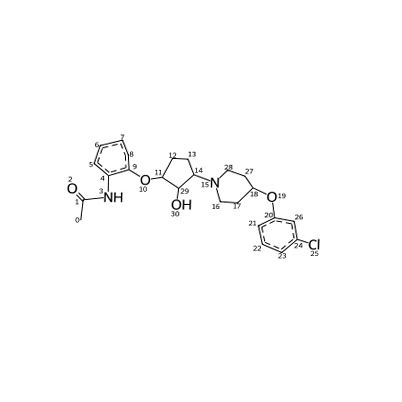 CC(=O)Nc1ccccc1OC1CCC(N2CCC(Oc3cccc(Cl)c3)CC2)C1O